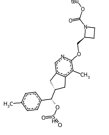 Cc1ccc([C@@H](O[SH](=O)=O)[C@@H]2Cc3cnc(OC[C@@H]4CCN4C(=O)OC(C)(C)C)c(C)c3C2)cc1